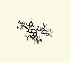 C[C@@H]1c2c(C(F)F)nn(CC(=O)N[C@@H](Cc3cc(F)cc(F)c3)c3nc(C#CC(C)(C)S(=O)(=O)C4CC4)c(I)cc3-c3ccc(Cl)c4c(NS(=O)(=O)C5CC5)nn(CC(F)F)c34)c2C(F)(F)[C@@H]1C